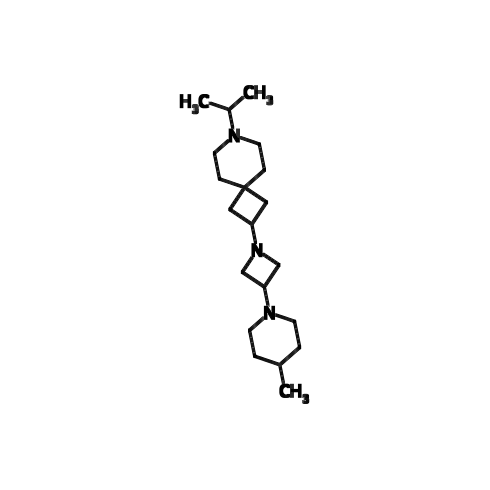 CC1CCN(C2CN(C3CC4(CCN(C(C)C)CC4)C3)C2)CC1